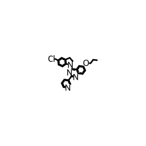 CCCOc1ccc2nc(-c3cccnc3)nc(N3CCc4cc(Cl)ccc43)c2c1